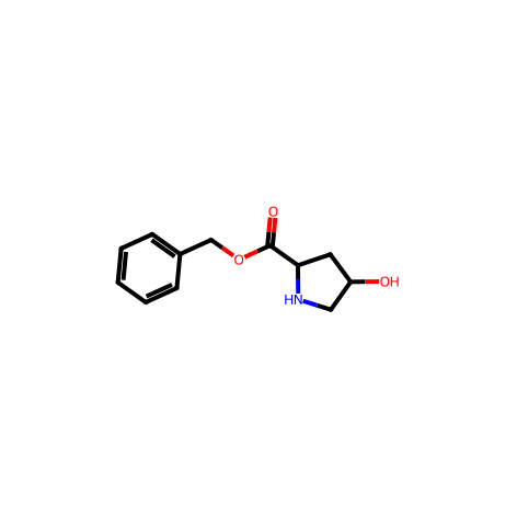 O=C(OCc1ccccc1)C1CC(O)CN1